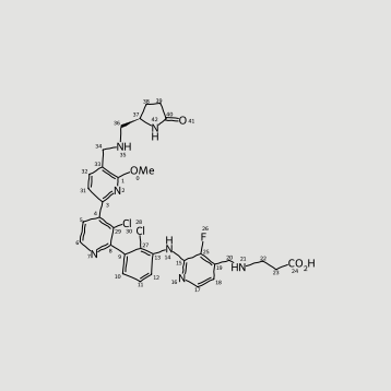 COc1nc(-c2ccnc(-c3cccc(Nc4nccc(CNCCC(=O)O)c4F)c3Cl)c2Cl)ccc1CNC[C@H]1CCC(=O)N1